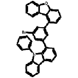 Brc1cc(-c2cccc3oc4ccccc4c23)cc(-c2cccc3c4ccccc4n(-c4ccccc4)c23)c1